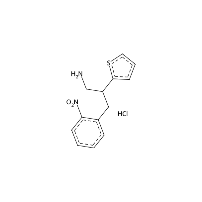 Cl.NCC(Cc1ccccc1[N+](=O)[O-])c1cccs1